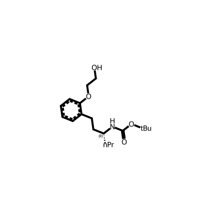 CCC[C@H](CCc1ccccc1OCCO)NC(=O)OC(C)(C)C